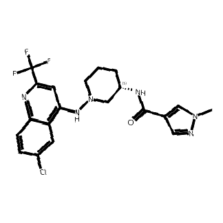 Cn1cc(C(=O)N[C@H]2CCCN(Nc3cc(C(F)(F)F)nc4ccc(Cl)cc34)C2)cn1